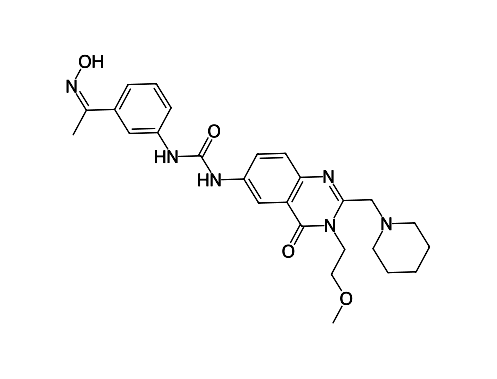 COCCn1c(CN2CCCCC2)nc2ccc(NC(=O)Nc3cccc(/C(C)=N\O)c3)cc2c1=O